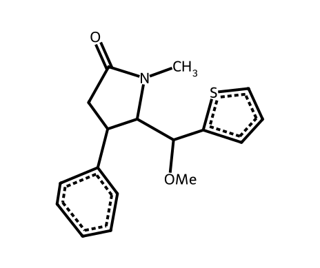 COC(c1cccs1)C1C(c2ccccc2)CC(=O)N1C